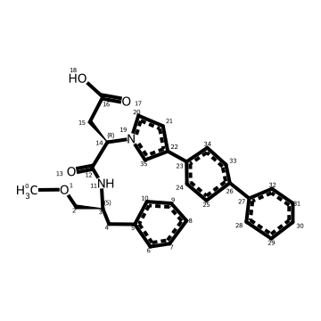 COC[C@H](Cc1ccccc1)NC(=O)[C@@H](CC(=O)O)n1ccc(-c2ccc(-c3ccccc3)cc2)c1